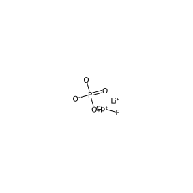 O=P([O-])([O-])O.[F][Co+].[Li+]